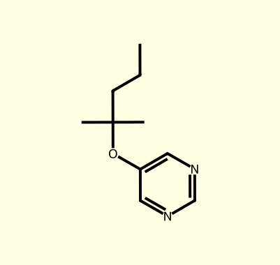 CCCC(C)(C)Oc1cncnc1